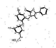 CC1C(c2ccccc2)OC(=O)N1Cc1cc(Br)ccc1Oc1cc(F)cc(CC(=O)O)c1